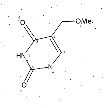 COCC1=C[N]C(=O)NC1=O